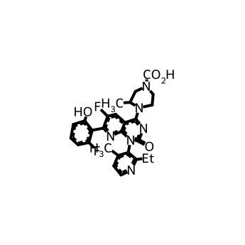 CCc1nccc(C)c1-n1c(=O)nc(N2CCN(C(=O)O)CC2C)c2cc(F)c(-c3c(O)cccc3F)nc21